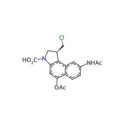 CC(=O)Nc1ccc2c(OC(C)=O)cc3c(c2c1)[C@H](CCl)CN3C(=O)O